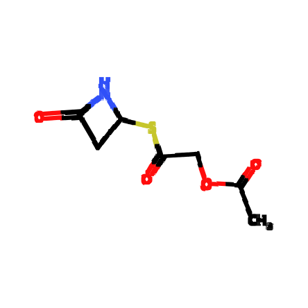 CC(=O)OCC(=O)SC1CC(=O)N1